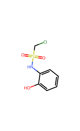 O=S(=O)(CCl)Nc1ccccc1O